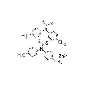 Cc1ccc(N(C(=S)[S-])c2ccc(C)cc2)cc1.Cc1ccc(N(C(=S)[S-])c2ccc(C)cc2)cc1.[Zn+2]